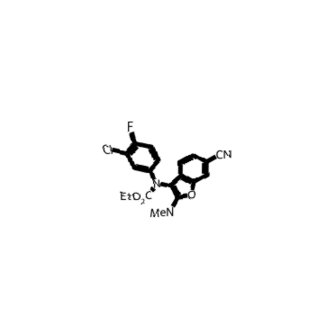 CCOC(=O)N(c1ccc(F)c(Cl)c1)c1c(NC)oc2cc(C#N)ccc12